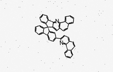 c1ccc2c(c1)-c1ccc(-c3ccc4ccc5ccccc5c4n3)cc1[C@]21c2ccccc2-c2nc3c(ccc4ccccc43)cc21